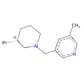 Cc1cncc(CN2CCC[C@@H](C(C)C)C2)c1